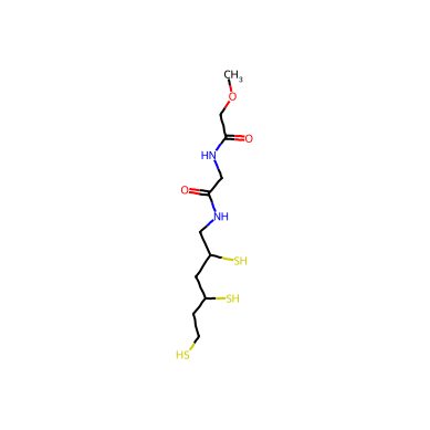 COCC(=O)NCC(=O)NCC(S)CC(S)CCS